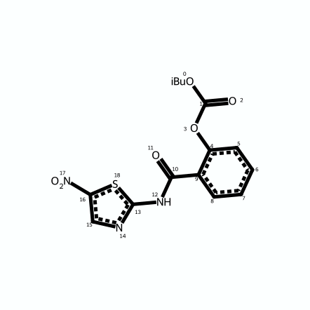 CC(C)COC(=O)Oc1ccccc1C(=O)Nc1ncc([N+](=O)[O-])s1